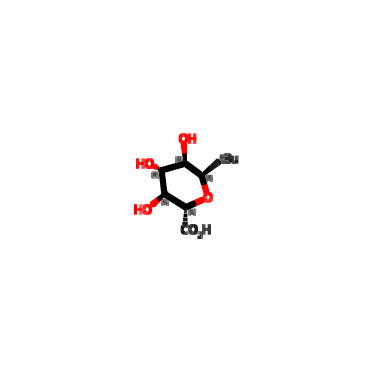 CC(C)(C)[C@H]1O[C@H](C(=O)O)[C@@H](O)[C@H](O)[C@H]1O